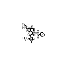 CCC(Nc1cc(C(F)F)c(-c2sc(C(=O)NC3CCOCC3)nc2C(=O)N2CC(F)(F)C[C@@H]2C)cn1)C(F)(F)F